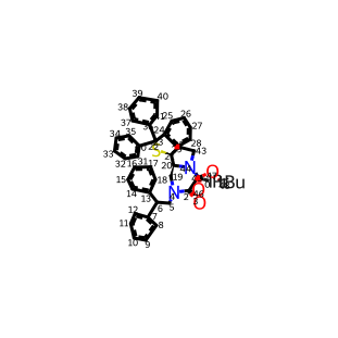 CC(C)CC(=O)N(CC(c1ccccc1)c1ccccc1)C[C@H]1[C@@H](SC(c2ccccc2)(c2ccccc2)c2ccccc2)CCN1C(=O)OC(C)(C)C